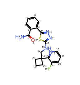 NC(=O)c1ccccc1-c1nnc(NCC2(c3ncccc3F)CCC2)s1